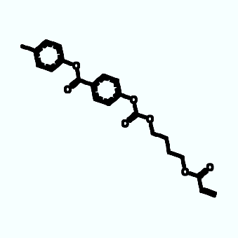 C=CC(=O)OCCCCOC(=O)Oc1ccc(C(=O)Oc2ccc(C)cc2)cc1